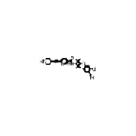 CC1(C)[C@H](NC(=O)c2ccc(C#CC3CCNCC3)nc2)C(C)(C)[C@H]1Oc1ccc(C#N)c(Cl)c1